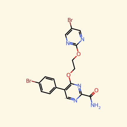 NC(=O)c1n[c]c(-c2ccc(Br)cc2)c(OCCOc2ncc(Br)cn2)n1